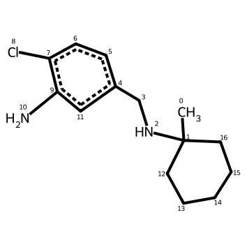 CC1(NCc2ccc(Cl)c(N)c2)CCCCC1